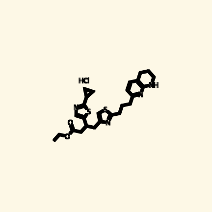 CCOC(=O)CC(Cc1csc(CCCc2ccc3c(n2)NCCC3)n1)c1cnc(C2CC2)s1.Cl